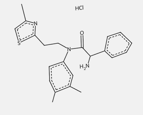 Cc1csc(CCN(C(=O)C(N)c2ccccc2)c2ccc(C)c(C)c2)n1.Cl